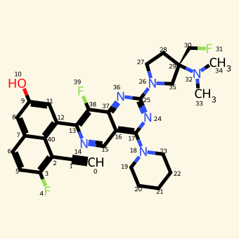 C#Cc1c(F)ccc2cc(O)cc(-c3ncc4c(N5CCCCC5)nc(N5CC[C@](CF)(N(C)C)C5)nc4c3F)c12